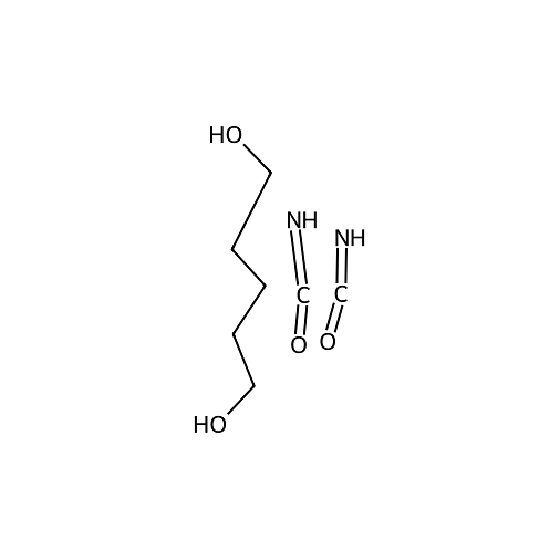 N=C=O.N=C=O.OCCCCCO